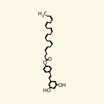 CC/C=C\C/C=C\C/C=C\C/C=C\C/C=C\C/C=C\CCC(=O)Oc1ccc(/C=C/c2cc(O)cc(O)c2)cc1